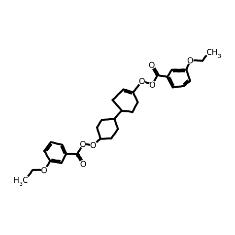 CCOc1cccc(C(=O)OOC2=CCC(C3CCC(OOC(=O)c4cccc(OCC)c4)CC3)CC2)c1